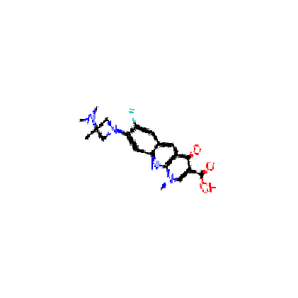 CN(C)C1(C)CN(c2cc3nc4c(cc3cc2F)c(=O)c(C(=O)O)cn4C)C1